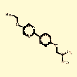 CCCCCCCCCCCOc1cnc(-c2ccc(OC[C@@H](C)CCCCCC)cc2)nc1